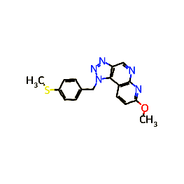 COc1ccc2c(ncc3nnn(Cc4ccc(SC)cc4)c32)n1